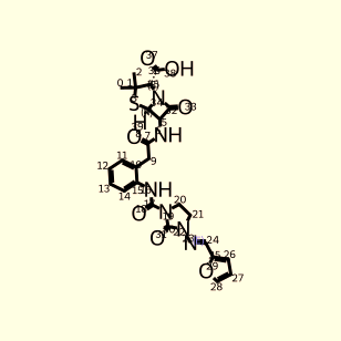 CC1(C)S[C@@H]2C(NC(=O)Cc3ccccc3NC(=O)N3CCN(/N=C/c4ccco4)C3=O)C(=O)N2[C@H]1C(=O)O